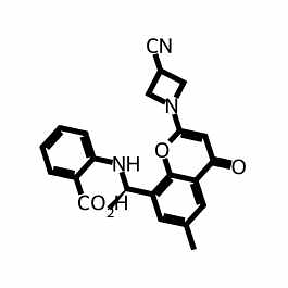 Cc1cc([C@@H](C)Nc2ccccc2C(=O)O)c2oc(N3CC(C#N)C3)cc(=O)c2c1